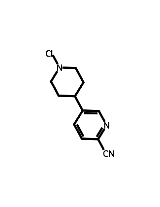 N#Cc1ccc(C2CCN(Cl)CC2)cn1